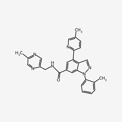 Cc1ccc(-c2cc(C(=O)NCc3cnc(C)cn3)cc3c2cnn3-c2ccccc2C)nc1